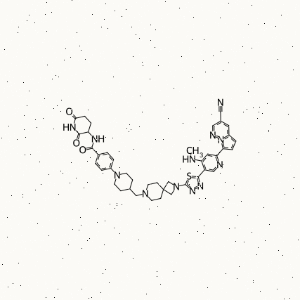 CNc1cc(-c2ccc3cc(C#N)cnn23)ncc1-c1nnc(N2CC3(CCN(CC4CCN(c5ccc(C(=O)NC6CCC(=O)NC6=O)cc5)CC4)CC3)C2)s1